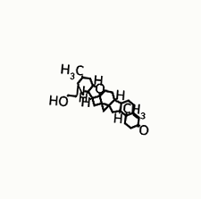 C[C@H]1C[C@H]2OC34CC[C@H]5C6CCC7=CC(=O)CC[C@]7(C)[C@H]6CC56CC63C[C@@H]4[C@@H]2N(CCO)C1